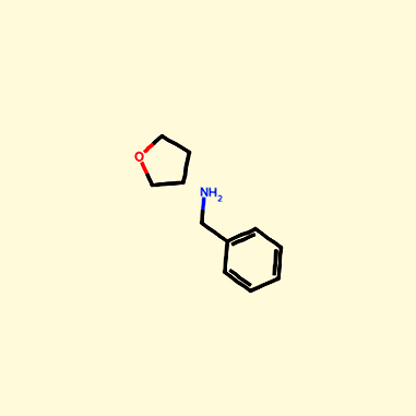 C1CCOC1.NCc1ccccc1